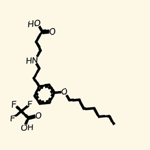 CCCCCCCOc1cccc(CCNCCC(=O)O)c1.O=C(O)C(F)(F)F